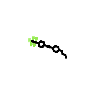 CCCCC1CCC(C#Cc2ccc(C(F)(F)C(F)(F)F)cc2)CC1